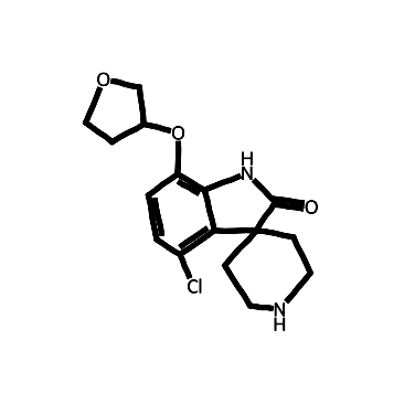 O=C1Nc2c(OC3CCOC3)ccc(Cl)c2C12CCNCC2